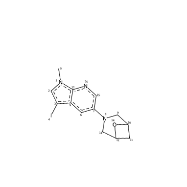 Cn1cc(I)c2cc(N3CC4CC(C3)O4)cnc21